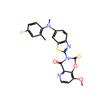 COc1ccnc2c(=O)n(-c3nc4ccc(N(C)c5ccc(F)cc5C)cc4s3)c(=S)oc12